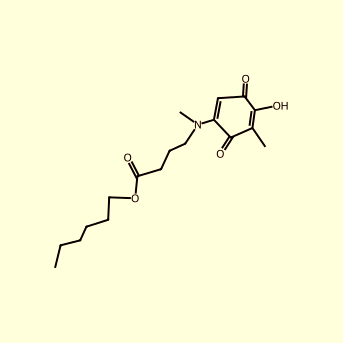 CCCCCCOC(=O)CCCN(C)C1=CC(=O)C(O)=C(C)C1=O